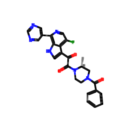 C[C@@H]1CN(C(=O)c2ccccc2)CCN1C(=O)C(=O)c1c[nH]c2c(-c3cncnc3)ncc(F)c12